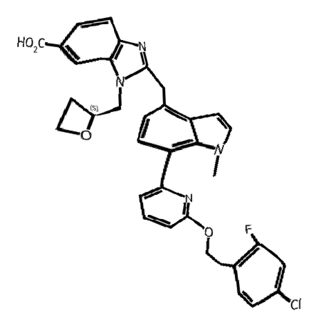 Cn1ccc2c(Cc3nc4ccc(C(=O)O)cc4n3C[C@@H]3CCO3)ccc(-c3cccc(OCc4ccc(Cl)cc4F)n3)c21